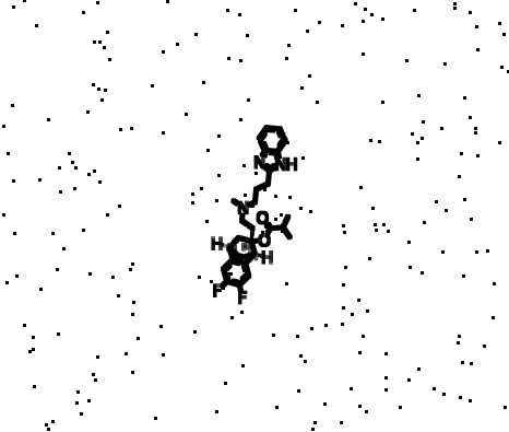 CC(C)C(=O)O[C@@]1(CCN(C)CCCc2nc3ccccc3[nH]2)C[C@H]2CC[C@@H]1c1cc(F)c(F)cc12